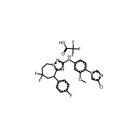 COc1cc(Nc2nc3n(n2)CCC(F)(F)CC3c2ccc(F)cc2)ccc1-n1cnc(Cl)c1.O=C(O)C(F)(F)F